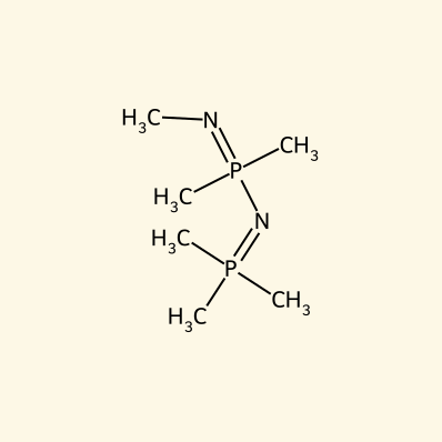 CN=P(C)(C)N=P(C)(C)C